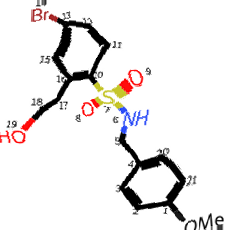 COc1ccc(CNS(=O)(=O)c2ccc(Br)cc2CCO)cc1